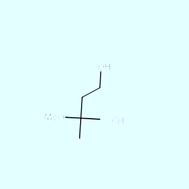 COC(C)(C)CCO.[CH3]